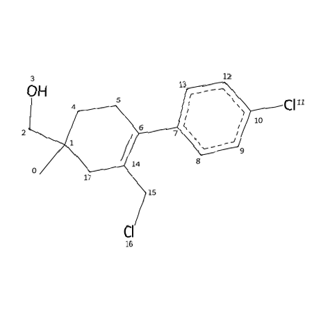 CC1(CO)CCC(c2ccc(Cl)cc2)=C(CCl)C1